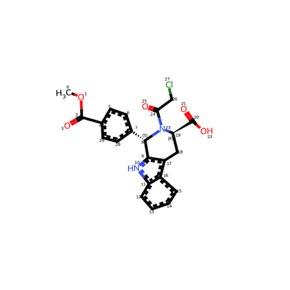 COC(=O)c1ccc([C@H]2c3[nH]c4ccccc4c3C[C@H](C(=O)O)N2C(=O)CCl)cc1